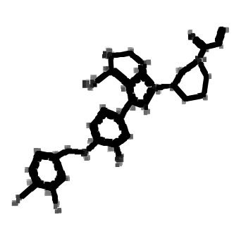 C=CC(=O)N1CCC[C@@H](n2nc(-c3ccc(OCc4ccc(F)c(F)c4)c(Cl)c3)c3c2=NCNC=3N)C1